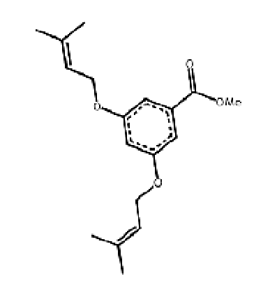 COC(=O)c1cc(OCC=C(C)C)cc(OCC=C(C)C)c1